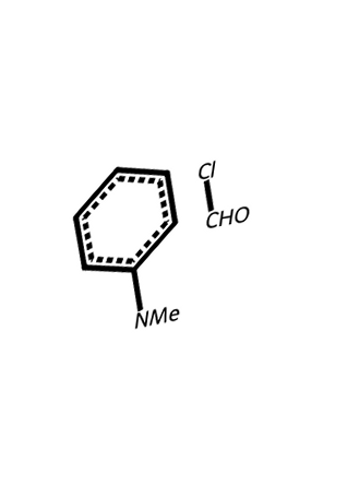 CNc1ccccc1.O=CCl